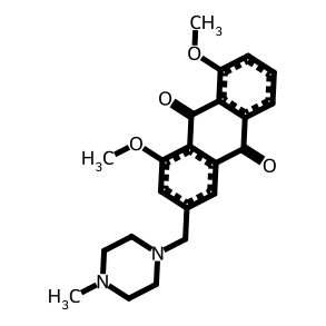 COc1cccc2c1C(=O)c1c(OC)cc(CN3CCN(C)CC3)cc1C2=O